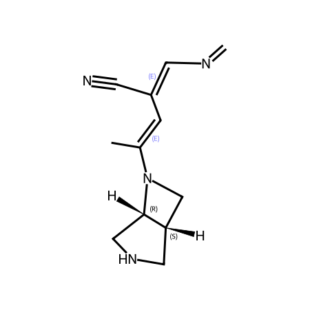 C=N/C=C(C#N)\C=C(/C)N1C[C@@H]2CNC[C@@H]21